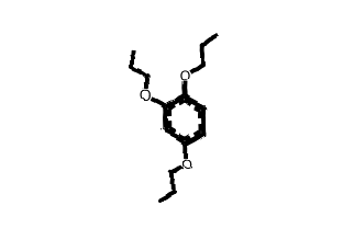 CCCOc1[c]c(OCCC)c(OCCC)cc1